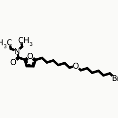 CCN(CC)C(=O)c1ccc(CCCCCCOCCCCCCBr)o1